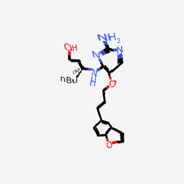 CCCC[C@@H](CCO)Nc1nc(N)ncc1OCCCc1ccc2c(c1)CCO2